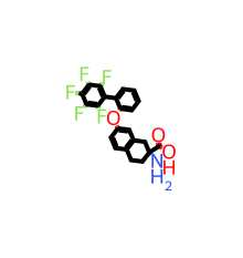 NC1(C(=O)O)CCc2ccc(Oc3ccccc3-c3c(F)c(F)c(F)c(F)c3F)cc2C1